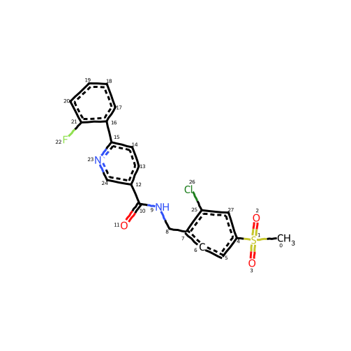 CS(=O)(=O)c1ccc(CNC(=O)c2ccc(-c3ccccc3F)nc2)c(Cl)c1